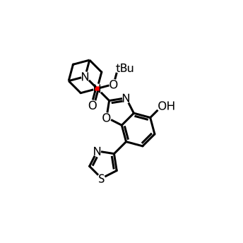 CC(C)(C)OC(=O)N1C2CC1CN(c1nc3c(O)ccc(-c4cscn4)c3o1)C2